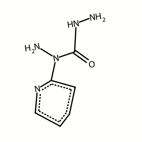 NNC(=O)N(N)c1ccccn1